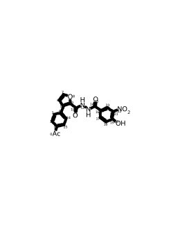 CC(=O)c1ccc(-c2ccoc2C(=O)NNC(=O)c2ccc(O)c([N+](=O)[O-])c2)cc1